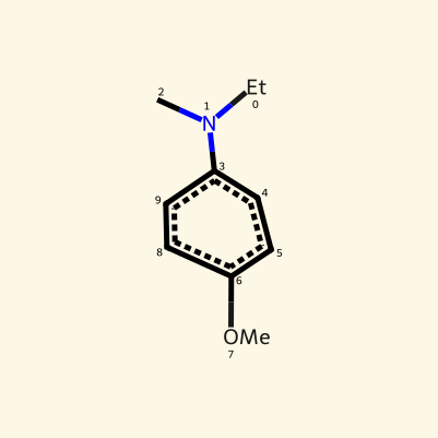 [CH2]CN(C)c1ccc(OC)cc1